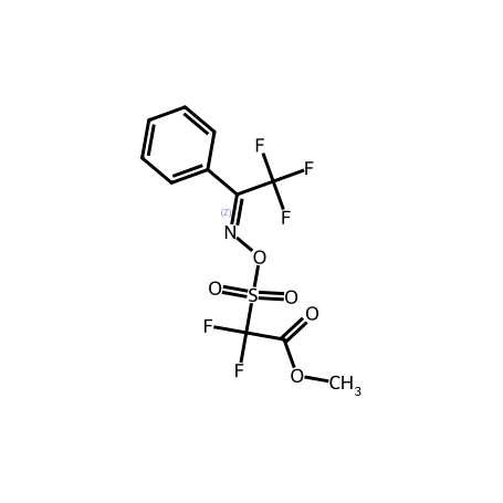 COC(=O)C(F)(F)S(=O)(=O)O/N=C(/c1ccccc1)C(F)(F)F